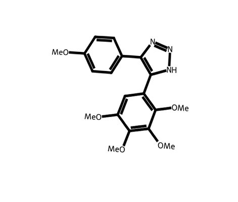 COc1ccc(-c2nn[nH]c2-c2cc(OC)c(OC)c(OC)c2OC)cc1